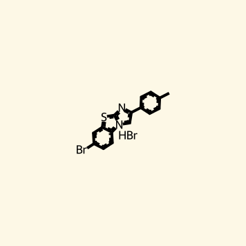 Br.Cc1ccc(-c2cn3c(n2)sc2cc(Br)ccc23)cc1